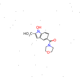 O=C(O)c1cc2cc(C(=O)N3CCOCC3)ccc2n1O